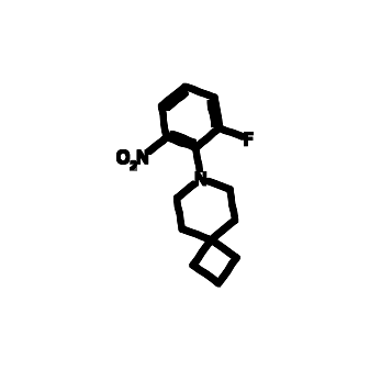 O=[N+]([O-])c1cccc(F)c1N1CCC2(CCC2)CC1